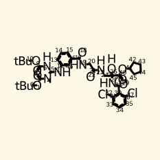 CC(C)(C)OC(=O)/N=C(\NC(=O)OC(C)(C)C)Nc1cccc(C(=O)NCC(=O)NCC(O)(NC(=O)c2c(Cl)cccc2Cl)C(=O)OC2CCCC2)c1